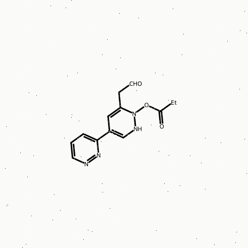 CCC(=O)ON1NC=C(c2cccnn2)C=C1CC=O